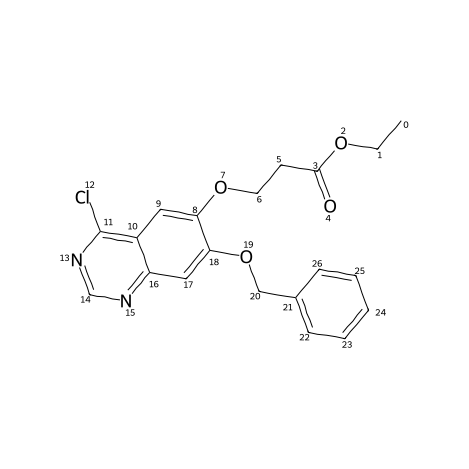 CCOC(=O)CCOc1cc2c(Cl)ncnc2cc1OCc1ccccc1